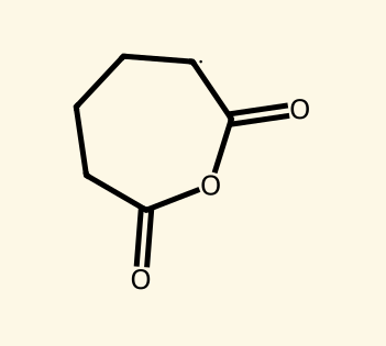 O=C1[CH]CCCC(=O)O1